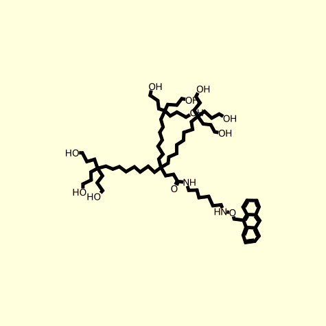 O=C(CCC(CCCCCCCCC(CCCO)(CCCO)CCCO)(CCCCCCCCC(CCCO)(CCCO)CCCO)CCCCCCCC(CCCO)(CCCO)CCCO)NCCCCCCNOCc1c2ccccc2cc2ccccc12